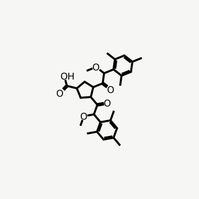 COC(C(=O)C1CC(C(=O)O)CC1C(=O)C(OC)c1c(C)cc(C)cc1C)c1c(C)cc(C)cc1C